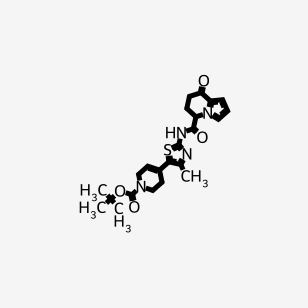 Cc1nc(NC(=O)C2CCC(=O)c3cccn32)sc1C1=CCN(C(=O)OC(C)(C)C)CC1